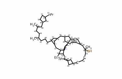 CCCCC1C/C2=C3/C4CC5CC(CC6CC(CCC(C1)CC(C)(S)CCCCC1CC(CCC)(C1)CC3C4CC)C2C6)CC5CCCC(C)CCC(C)CC1CCC(CCC)C1